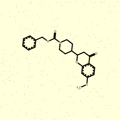 O=C1CC(C2CCN(C(=O)OCc3ccccc3)CC2)Oc2cc(OC(F)(F)F)ccc21